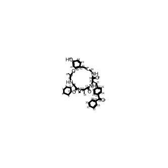 C[C@@H]1CN[C@@H](C2CCCCC2)C(=O)N(C)[C@H](C)C(=O)N[C@H](Cc2ccc(C(=O)c3ccccc3)cc2)C(=O)NCCCc2ccc(O)cc2O1